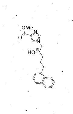 COC(=O)c1cn(C[C@@H](O)CCCc2cccc3ccccc23)cn1